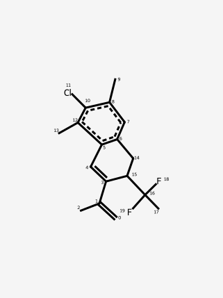 C=C(C)C1=Cc2c(cc(C)c(Cl)c2C)CC1C(C)(F)F